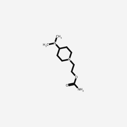 CN(C)C1CCN(CCOC(N)=O)CC1